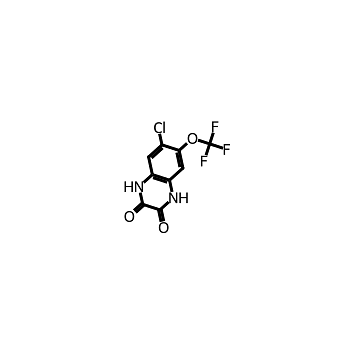 O=c1[nH]c2cc(Cl)c(OC(F)(F)F)cc2[nH]c1=O